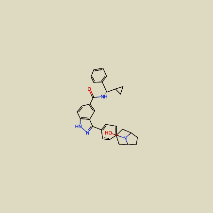 O=C(N[C@H](c1ccccc1)C1CC1)c1ccc2[nH]nc(-c3ccc(N4C5CCC4CC(O)C5)cc3)c2c1